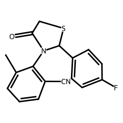 Cc1cccc(C#N)c1N1C(=O)CSC1c1ccc(F)cc1